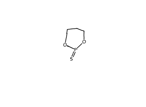 S=[P]1OCCCO1